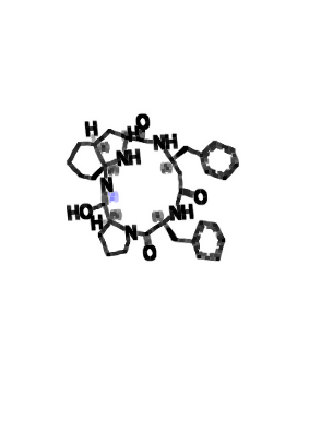 O=C1C[C@H](Cc2ccccc2)NC(=O)[C@@H]2C[C@@H]3CCCC[C@]3(/N=C(\O)[C@@H]3CCCN3C(=O)[C@H](Cc3ccccc3)N1)N2